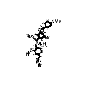 CNC1CCC([C@@]2(C)Oc3c(Br)cc(C(=O)N(N)Cc4c(N=[N+]=[N-])cc(CN=[N+]=[N-])[nH]c4=O)c(CN=[N+]=[N-])c3O2)CC1